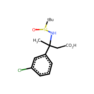 CC(CC(=O)O)(N[S+]([O-])C(C)(C)C)c1cccc(Cl)c1